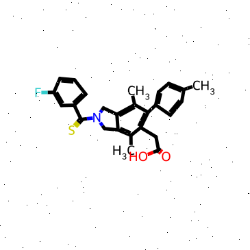 Cc1ccc(-c2c(C)c3c(c(C)c2CC(=O)O)CN(C(=S)c2cccc(F)c2)C3)cc1